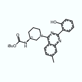 Cc1ccc2c(N3CCC[C@H](NC(=O)OCC(C)C)C3)nc(-c3ccccc3O)nc2c1